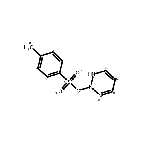 Cc1ccc(S(=O)(=O)ON2N=CC=CN2)cc1